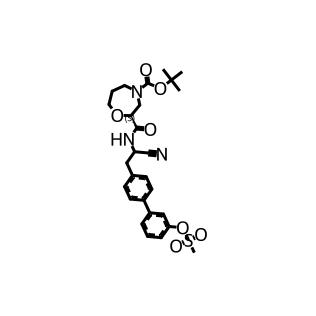 CC(C)(C)OC(=O)N1CCCO[C@H](C(=O)NC(C#N)Cc2ccc(-c3cccc(OS(C)(=O)=O)c3)cc2)C1